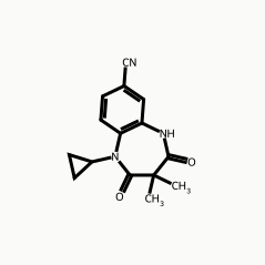 CC1(C)C(=O)Nc2cc(C#N)ccc2N(C2CC2)C1=O